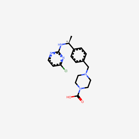 C[C@H](Nc1nccc(Cl)n1)c1ccc(CN2CCN(C(=O)O)CC2)cc1